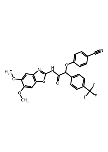 COc1cc2nc(NC(=O)C(Oc3ccc(C#N)cc3)c3ccc(C(F)(F)F)cc3)sc2cc1OC